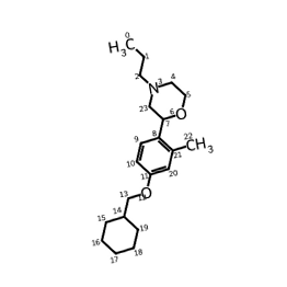 CCCN1CCOC(c2ccc(OCC3CCCCC3)cc2C)C1